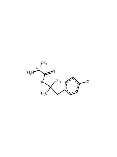 C[C@@H](N)C(=O)NC(C)(C)Cc1ccc(Cl)cc1